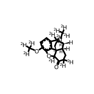 [2H]C([2H])([2H])Oc1ccc2c3c1OC1([2H])C(=O)C([2H])([2H])C[C@H]4[C@H](N(C([2H])([2H])[2H])CC[C@@]341)C2([2H])[2H]